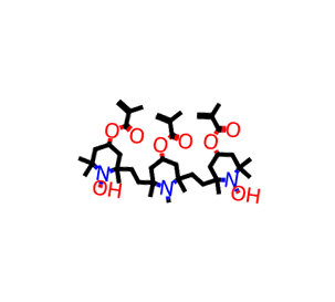 C=C(C)C(=O)OC1CC(C)(C)N(O)C(C)(CCC2(C)CC(OC(=O)C(=C)C)CC(C)(CCC3(C)CC(OC(=O)C(=C)C)CC(C)(C)N3O)N2C)C1